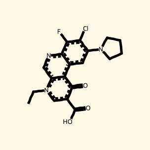 CCn1cc(C(=O)O)c(=O)c2c3cc(N4CCCC4)c(Cl)c(F)c3ncc21